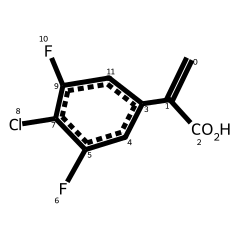 C=C(C(=O)O)c1cc(F)c(Cl)c(F)c1